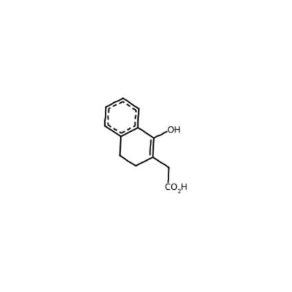 O=C(O)CC1=C(O)c2ccccc2CC1